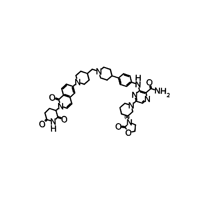 NC(=O)c1ncc(N2CCC[C@@H](N3CCOC3=O)C2)nc1Nc1ccc(C2CCN(CC3CCN(c4ccc5c(=O)n(C6CCC(=O)NC6=O)ccc5c4)CC3)CC2)cc1